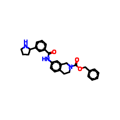 O=C(Nc1ccc2c(c1)CN(C(=O)OCc1ccccc1)CC2)c1cccc(C2CCCN2)c1